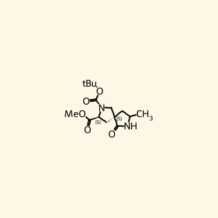 COC(=O)[C@@H]1C[C@@]2(CC(C)NC2=O)CN1C(=O)OC(C)(C)C